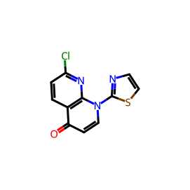 O=c1ccn(-c2nccs2)c2nc(Cl)ccc12